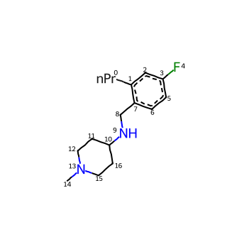 CCCc1cc(F)ccc1CNC1CCN(C)CC1